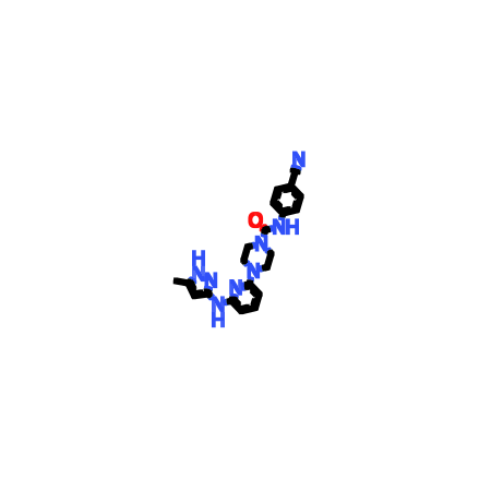 Cc1cc(Nc2cccc(N3CCN(C(=O)Nc4ccc(C#N)cc4)CC3)n2)n[nH]1